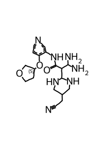 N#CCC1CNC(C(C(=O)Nc2cnccc2O[C@H]2CCOC2)C(N)N)NC1